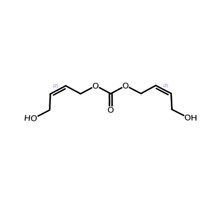 O=C(OC/C=C\CO)OC/C=C\CO